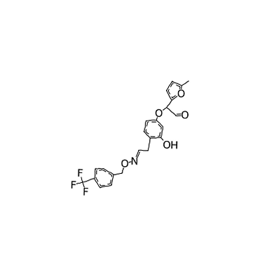 Cc1ccc(C(C=O)Oc2ccc(CC=NOCc3ccc(C(F)(F)F)cc3)c(O)c2)o1